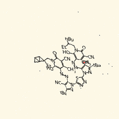 CCCCC(CC)Cn1c(O)c(N=Nc2c(C#N)c(C(C)(C)C)nn2-c2nnc(-n3nc(C(C)(C)C)c(C#N)c3N=Nc3c(C)c(C#N)c(=O)n(CC4(CC)C5C6CC654)c3O)s2)c(C)c(C#N)c1=O